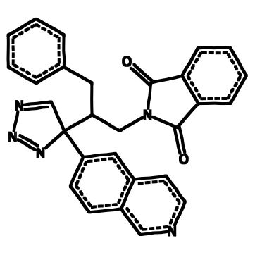 O=C1c2ccccc2C(=O)N1CC(Cc1ccccc1)C1(c2ccc3cnccc3c2)C=NN=N1